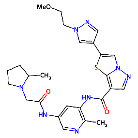 COCCn1cc(-c2cn3ncc(C(=O)Nc4cc(NC(=O)CN5CCCC5C)cnc4C)c3s2)cn1